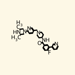 CC1CN(c2ccc(CN3CCC(NC(=O)c4ccc(F)c(-c5cccnc5)c4)CC3)cn2)CC(C)N1